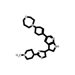 CN1CCC(C2=NC(C3CNc4ncc(C5=CCC(N6CCCOCC6)CC5)cc43)CS2)CC1